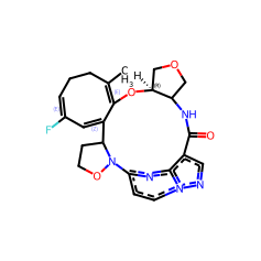 C\C1=C2/O[C@H]3COCC3NC(=O)c3cnn4ccc(nc34)N3OCCC3/C2=C/C(F)=C\CC1